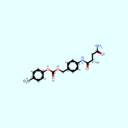 C[C@@H](CC(N)=O)C(=O)Nc1ccc(COC(=O)Oc2ccc([N+](=O)[O-])cc2)cc1